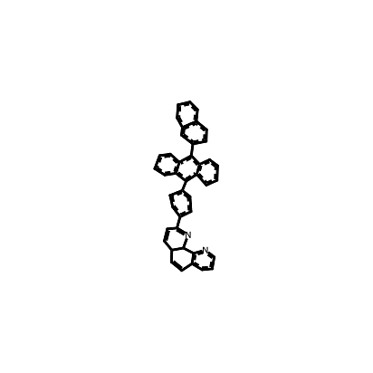 C1=CC2C=Cc3cccnc3C2N=C1c1ccc(-c2c3ccccc3c(-c3ccc4ccccc4c3)c3ccccc23)cc1